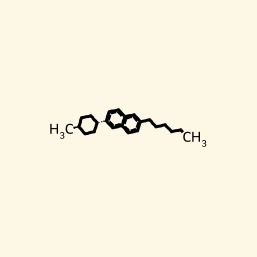 CCCCCCc1ccc2cc([C@H]3CC[C@H](C)CC3)ccc2c1